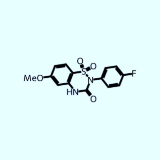 COc1ccc2c(c1)NC(=O)N(c1ccc(F)cc1)S2(=O)=O